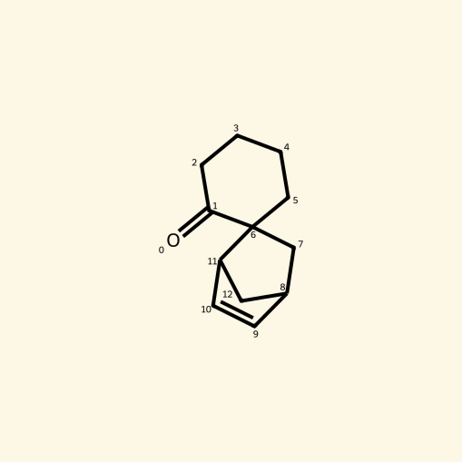 O=C1CCCCC12CC1C=CC2C1